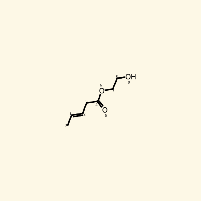 CC=CCC(=O)OCCO